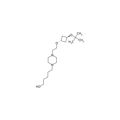 CC(C)(C)O[C@H]1C[C@H](OCCN2CCN(CCCCCO)CC2)C1